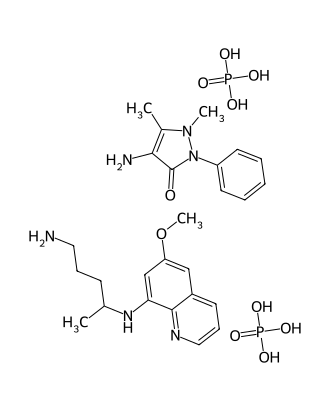 COc1cc(NC(C)CCCN)c2ncccc2c1.Cc1c(N)c(=O)n(-c2ccccc2)n1C.O=P(O)(O)O.O=P(O)(O)O